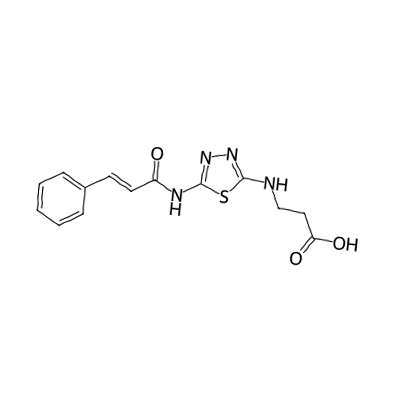 O=C(O)CCNc1nnc(NC(=O)C=Cc2ccccc2)s1